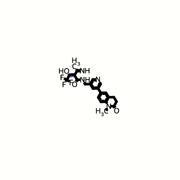 CC(=N)/C(C(=O)NCc1cncc(-c2ccc3c(c2)CCC(=O)N3C)c1)=C(\O)C(F)(F)F